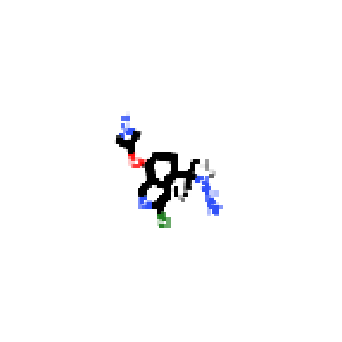 CC(C)(N=[N+]=[N-])c1ccc(OC2CNC2)c2cnc(Cl)cc12